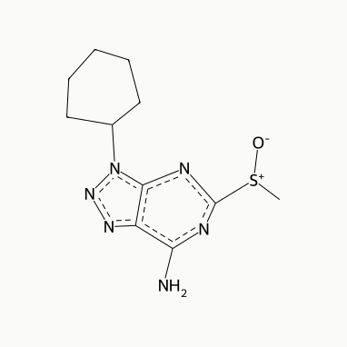 C[S+]([O-])c1nc(N)c2nnn(C3CCCCC3)c2n1